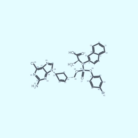 C[C@@H](C(=O)O)N(c1ccc2ccccc2c1)P(=O)(OC[C@@H]1C=C[C@H](n2cnc3c(Cl)nc(N)nc32)C1)Oc1ccc(Br)cc1